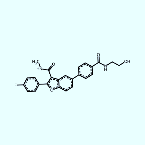 CNC(=O)c1c(-c2ccc(F)cc2)oc2ccc(-c3ccc(C(=O)NCCO)cc3)cc12